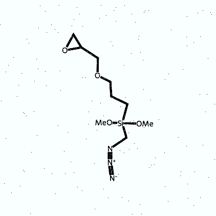 CO[Si](CCCOCC1CO1)(CN=[N+]=[N-])OC